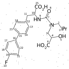 CC(C)CN(CC(O)C(=O)O)C(=O)NC(Cc1ccc(-c2ccc(F)cc2)cc1)C(=O)O